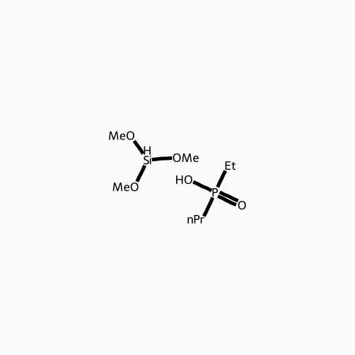 CCCP(=O)(O)CC.CO[SiH](OC)OC